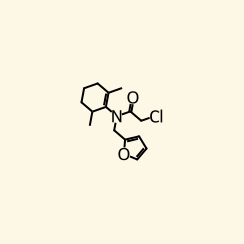 CC1=C(N(Cc2ccco2)C(=O)CCl)C(C)CCC1